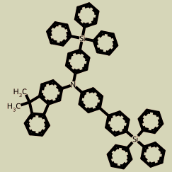 CC1(C)c2ccccc2-c2cc(N(c3ccc(-c4ccc([Si](c5ccccc5)(c5ccccc5)c5ccccc5)cc4)cc3)c3ccc([Si](c4ccccc4)(c4ccccc4)c4ccccc4)cc3)ccc21